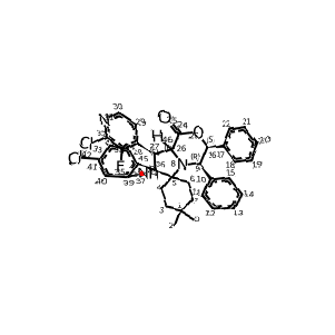 CC1(C)CCC2(CC1)N1[C@H](c3ccccc3)[C@H](c3ccccc3)OC(=O)[C@H]1[C@H](c1ccnc(Cl)c1F)[C@@]21CNc2cc(Cl)ccc21